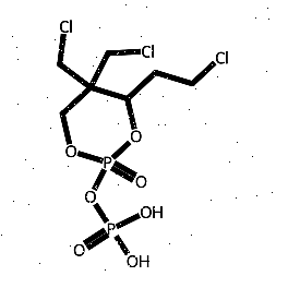 O=P(O)(O)OP1(=O)OCC(CCl)(CCl)C(CCCl)O1